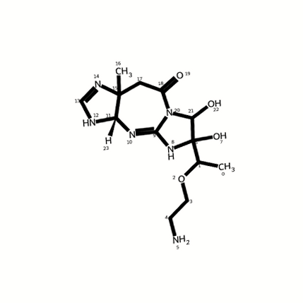 CC(OCCN)C1(O)NC2=N[C@@H]3NC=NC3(C)CC(=O)N2C1O